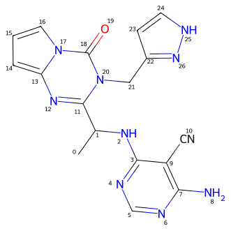 CC(Nc1ncnc(N)c1C#N)c1nc2cccn2c(=O)n1Cc1cc[nH]n1